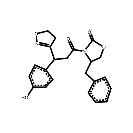 O=C(CC(C1=NOCC1)c1ccc(O)cc1)N1C(=O)OCC1Cc1ccccc1